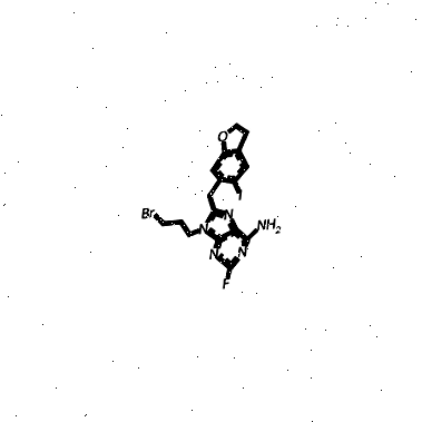 Nc1nc(F)nc2c1nc(Cc1cc3c(cc1I)CCO3)n2CCCBr